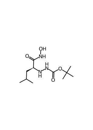 CC(C)C[C@H](NNC(=O)OC(C)(C)C)C(=O)NO